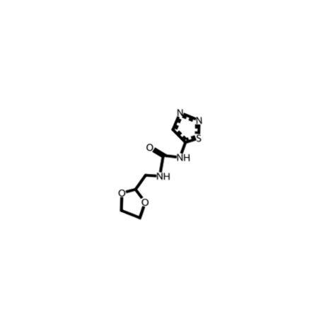 O=C(NCC1OCCO1)Nc1cnns1